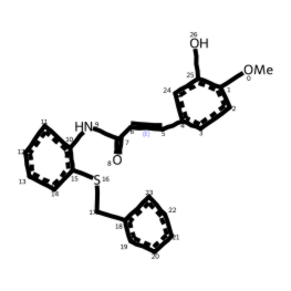 COc1ccc(/C=C/C(=O)Nc2ccccc2SCc2ccccc2)cc1O